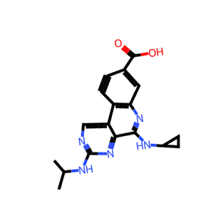 CC(C)Nc1ncc2c(n1)c(NC1CC1)nc1cc(C(=O)O)c#cc12